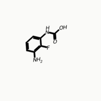 Nc1cccc(NC(=O)O)c1F